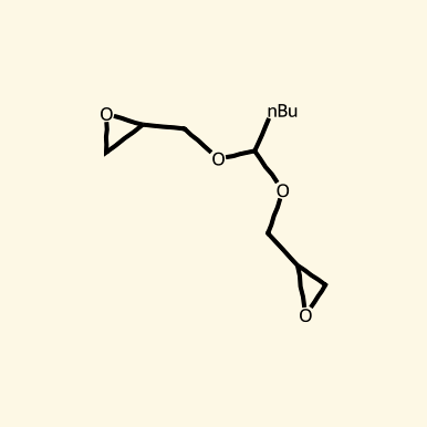 CCCCC(OCC1CO1)OCC1CO1